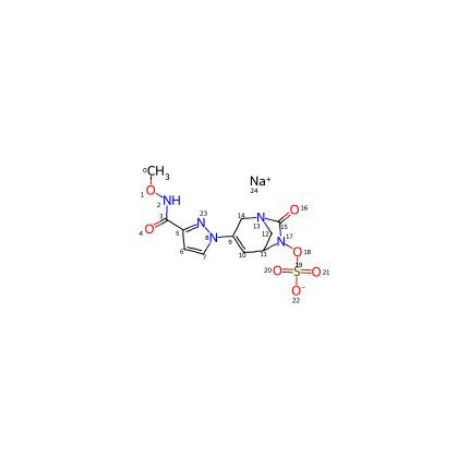 CONC(=O)c1ccn(C2=CC3CN(C2)C(=O)N3OS(=O)(=O)[O-])n1.[Na+]